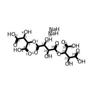 O=C(OC(C(=O)O)C(O)C(=O)O)C(O)C(O)C(=O)OC(C(=O)O)C(O)C(=O)O.[NaH].[NaH]